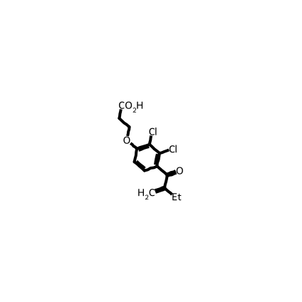 C=C(CC)C(=O)c1ccc(OCCC(=O)O)c(Cl)c1Cl